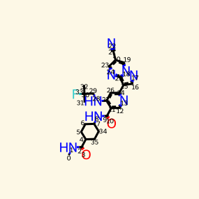 CNC(=O)C1CCC(NC(=O)c2cnc(-c3cnn4cc(C#N)cnc34)cc2NCC(C)(C)F)CC1